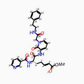 COC(=O)/C=C/CC[C@H](NC(=O)c1cccnc1)C(=O)Nc1cccn(CC(=O)NCCc2ccccc2)c1=O